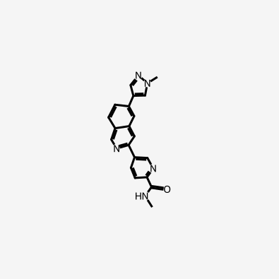 CNC(=O)c1ccc(-c2cc3cc(-c4cnn(C)c4)ccc3cn2)cn1